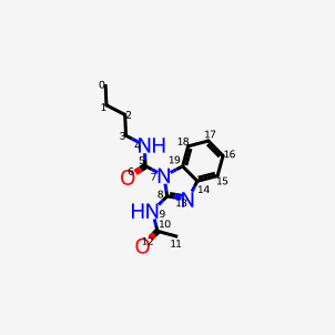 CCCCNC(=O)n1c(NC(C)=O)nc2ccccc21